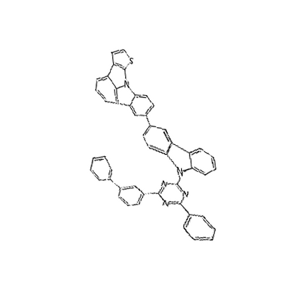 c1ccc(-c2cccc(-c3nc(-c4ccccc4)nc(-n4c5ccccc5c5cc(-c6ccc7c(c6)c6cccc8c9ccsc9n7c68)ccc54)n3)c2)cc1